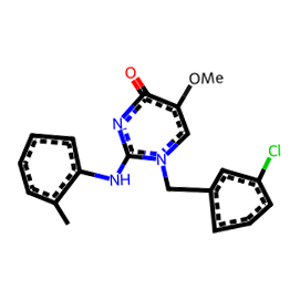 COc1cn(Cc2cccc(Cl)c2)c(Nc2ccccc2C)nc1=O